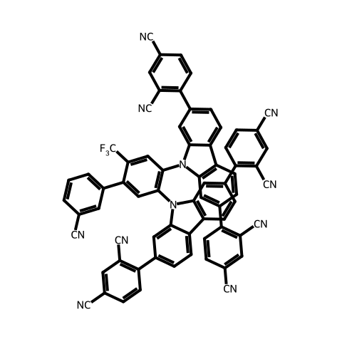 N#Cc1cccc(-c2cc(-n3c4cc(-c5ccc(C#N)cc5C#N)ccc4c4ccc(-c5ccc(C#N)cc5C#N)cc43)c(-n3c4cc(-c5ccc(C#N)cc5C#N)ccc4c4ccc(-c5ccc(C#N)cc5C#N)cc43)cc2C(F)(F)F)c1